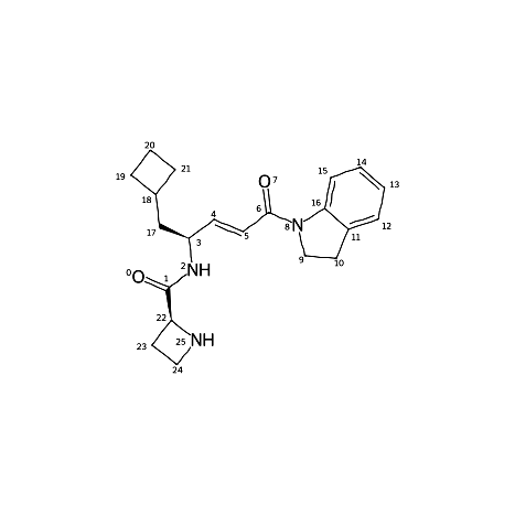 O=C(N[C@H](/C=C/C(=O)N1CCc2ccccc21)CC1CCC1)[C@@H]1CCN1